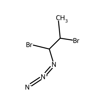 CC(Br)C(Br)N=[N+]=[N-]